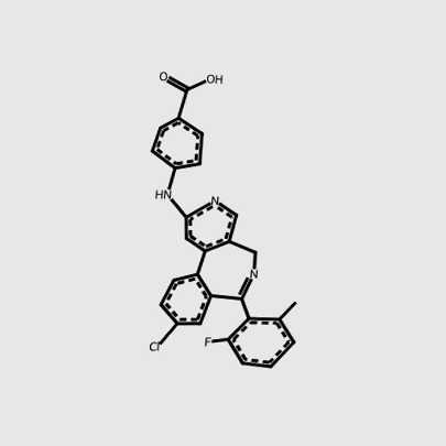 Cc1cccc(F)c1C1=NCc2cnc(Nc3ccc(C(=O)O)cc3)cc2-c2ccc(Cl)cc21